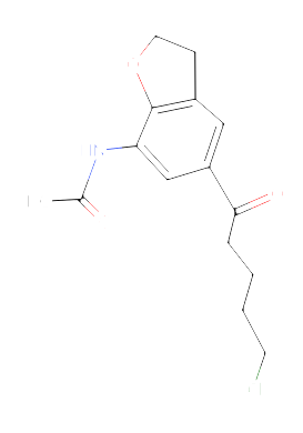 CC(=O)Nc1cc(C(=O)CCCCCl)cc2c1OCC2